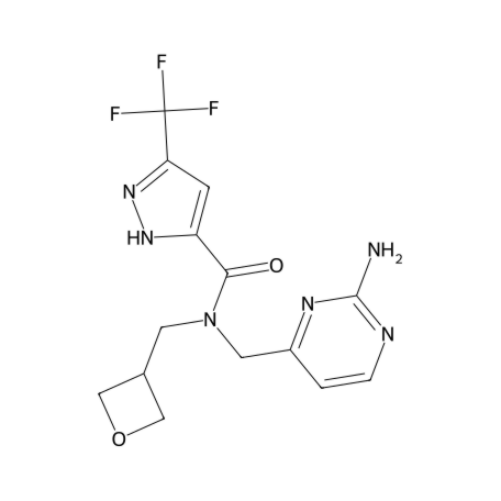 Nc1nccc(CN(CC2COC2)C(=O)c2cc(C(F)(F)F)n[nH]2)n1